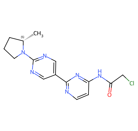 C[C@H]1CCCN1c1ncc(-c2nccc(NC(=O)CCl)n2)cn1